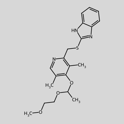 COCCOC(C)Oc1c(C)cnc(CSc2nc3ccccc3[nH]2)c1C